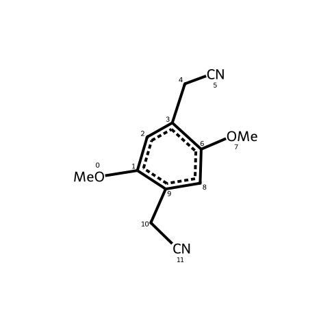 COc1cc(CC#N)c(OC)cc1CC#N